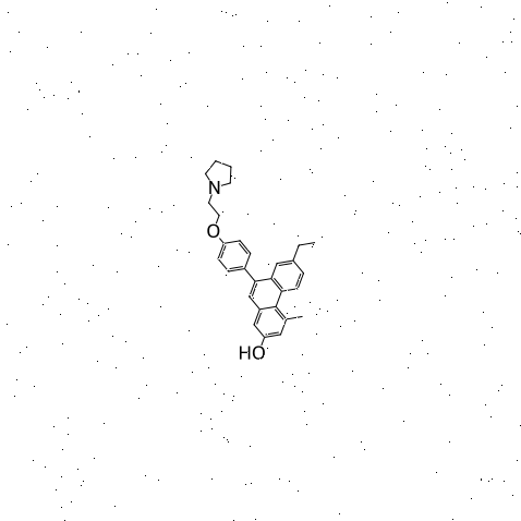 CCc1ccc2c(c1)c(-c1ccc(OCCN3CCCC3)cc1)cc1cc(O)cc(C)c12